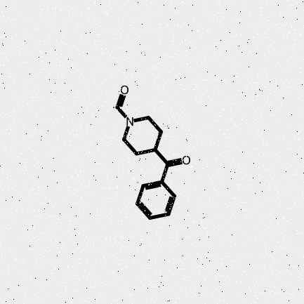 O=[C]N1CCC(C(=O)c2ccccc2)CC1